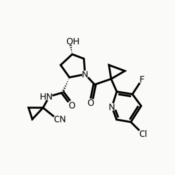 N#CC1(NC(=O)[C@@H]2C[C@H](O)CN2C(=O)C2(c3ncc(Cl)cc3F)CC2)CC1